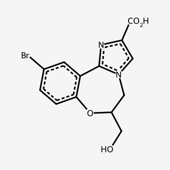 O=C(O)c1cn2c(n1)-c1cc(Br)ccc1OC(CO)C2